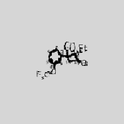 CCOC(=O)C1(c2cccc(OC(F)(F)F)c2)CC(=O)C1